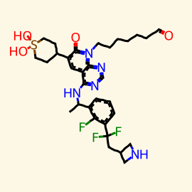 CC(Nc1ncnc2c1cc(C1CCS(O)(O)CC1)c(=O)n2CCCCCCC=O)c1cccc(C(F)(F)CC2CNC2)c1F